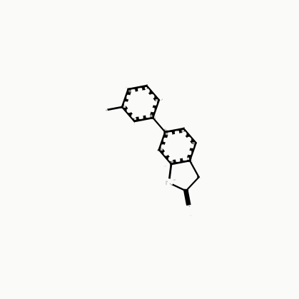 O=C1Cc2ccc(-c3cccc(O)c3)cc2N1